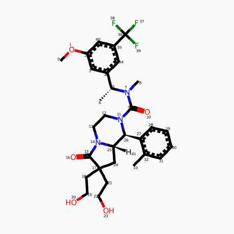 COc1cc([C@@H](C)N(C)C(=O)N2CCN3C(=O)C(CCO)(CCO)C[C@H]3[C@@H]2c2ccccc2C)cc(C(F)(F)F)c1